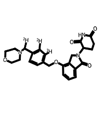 [2H]c1c(COc2cccc3c2CN(C2CCC(=O)NC2=O)C3=O)ccc(C([2H])N2CCOCC2)c1[2H]